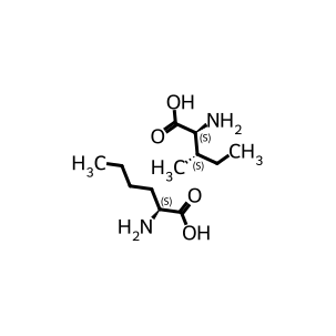 CCCC[C@H](N)C(=O)O.CC[C@H](C)[C@H](N)C(=O)O